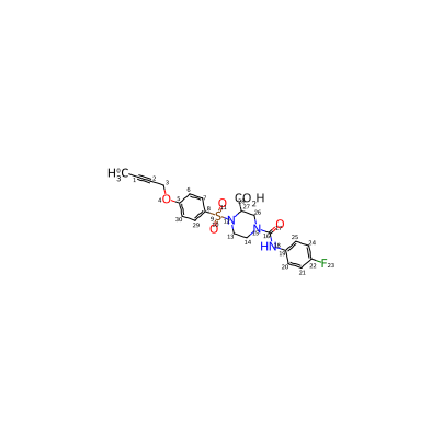 CC#CCOc1ccc(S(=O)(=O)N2CCN(C(=O)Nc3ccc(F)cc3)CC2C(=O)O)cc1